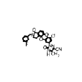 C=C1NC(=O)N(c2cc(Cl)c(Oc3ccc4c(c3)CCN(Cc3cccc(F)c3)C4=O)c(Cl)c2)N=C1C#N